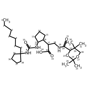 CCCCCCCC1(NC(=O)NC2CCCC2C(CNC(=O)C2OC(C)(C)OCC2(C)C)C(=O)O)CCCC1